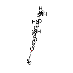 CC(=O)SCCCCCCCCCCCOCCOCCOCCOc1ccc(OCC(=O)NCCOCCOCCNC(=O)CCCCC2SCC3NC(=O)NC32)cc1